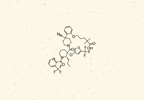 CCC[C@H]1N(C(=O)c2ncccc2C(F)(F)F)CCC[C@@]1(Oc1csc(C(F)(F)F)c1)C(=O)N1CCC(C#N)(c2ccccc2OCCCC(C)(C)C(=O)O)CC1